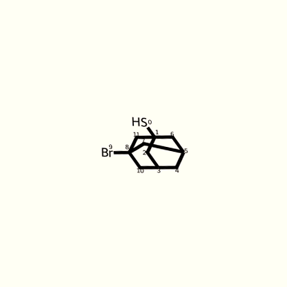 SC12CC3CC(C1)CC(Br)(C3)C2